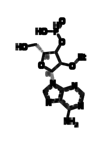 CCOC1C(O[PH](=O)O)[C@@H](CO)O[C@H]1n1cnc2c(N)ncnc21